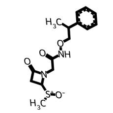 CC(CONC(=O)CN1C(=O)CC1[S+](C)[O-])c1ccccc1